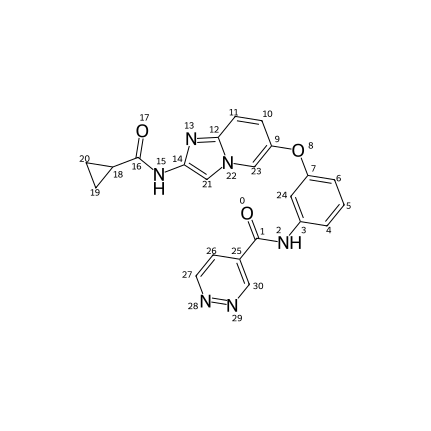 O=C(Nc1cccc(Oc2ccc3nc(NC(=O)C4CC4)cn3c2)c1)c1ccnnc1